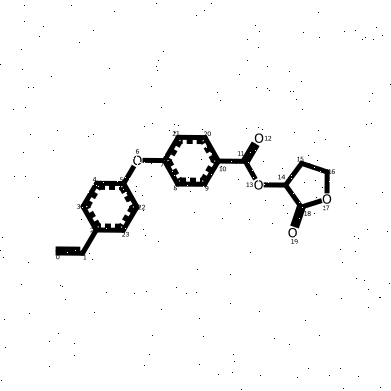 C=Cc1ccc(Oc2ccc(C(=O)OC3CCOC3=O)cc2)cc1